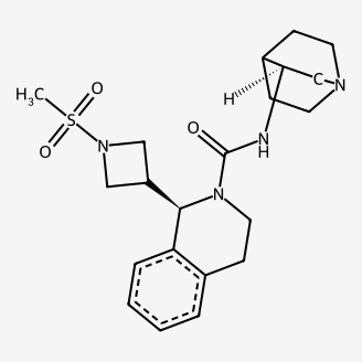 CS(=O)(=O)N1CC([C@@H]2c3ccccc3CCN2C(=O)N[C@@H]2CN3CCC2CC3)C1